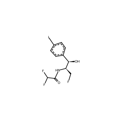 O=C(N[C@H](CF)[C@H](O)c1ccc(I)cc1)C(F)F